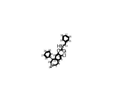 CN1CCc2cc(Cl)c(OC(=O)NCc3ccccc3)cc2[C@H](c2ccccc2)C1